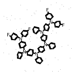 Fc1ccc(N(c2ccc(F)cc2)c2ccc(N(c3ccccc3)c3ccc(N(c4ccccc4)c4ccc(N(c5ccccc5)c5ccc(N(c6ccccc6)c6ccc(N(c7ccc(F)cc7)c7ccc(F)cc7)cc6)cc5)cc4)cc3)cc2)cc1